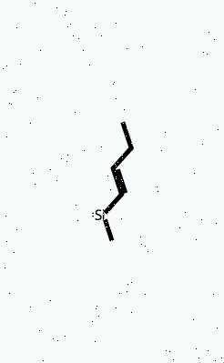 CCC=C[Si]C